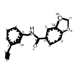 C#Cc1cccc(NC(=O)c2ccc3c(c2)OCO3)c1